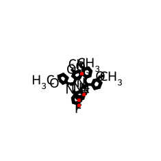 COc1cccc(C2=NC(c3ccc(F)cc3F)(n3c(-c4ccc(F)cc4F)nc(-c4cccc(OC)c4)c3-c3cccc(OC)c3)N=C2c2cccc(OC)c2)c1